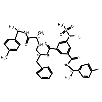 C[C@H](NC[C@H](Cc1ccccc1)NC(=O)c1cc(C(=O)N[C@H](C)c2ccc(F)cc2)cc(N(C)S(C)(=O)=O)c1)C(=O)N[C@H](C)c1ccc(N)cc1